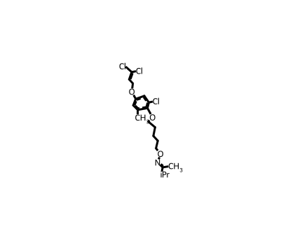 CC(=NOCCCCCOc1c(C)cc(OCC=C(Cl)Cl)cc1Cl)C(C)C